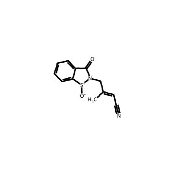 C/C(=C\C#N)Cn1c(=O)c2ccccc2[s+]1[O-]